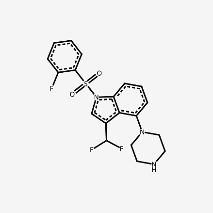 O=S(=O)(c1ccccc1F)n1cc(C(F)F)c2c(N3CCNCC3)cccc21